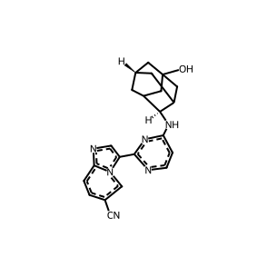 N#Cc1ccc2ncc(-c3nccc(N[C@H]4C5CC6(O)CC4C[C@H](C5)C6)n3)n2c1